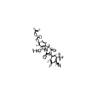 C=C(C)OC(=O)Oc1ccc(C2(C)C(=O)N(c3ccc(C#N)c(C(F)(F)F)c3)C(=O)N2CO)cc1